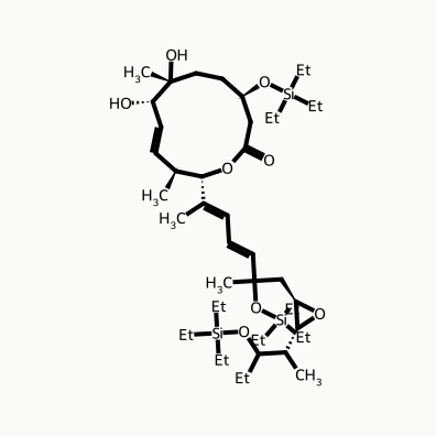 CCC(O[Si](CC)(CC)CC)C(C)[C@H]1O[C@@H]1CC(C)(/C=C/C=C(\C)[C@H]1OC(=O)C[C@H](O[Si](CC)(CC)CC)CC[C@@](C)(O)[C@@H](O)/C=C/[C@@H]1C)O[Si](CC)(CC)CC